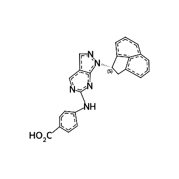 O=C(O)c1ccc(Nc2ncc3cnn([C@H]4Cc5cccc6cccc4c56)c3n2)cc1